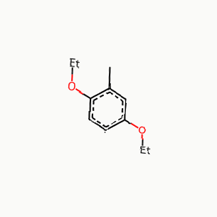 CCOc1[c]cc(OCC)c(C)c1